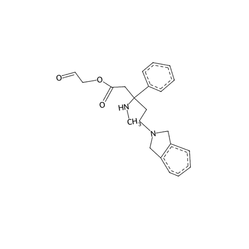 CNC(CCN1Cc2ccccc2C1)(CC(=O)OCC=O)c1ccccc1